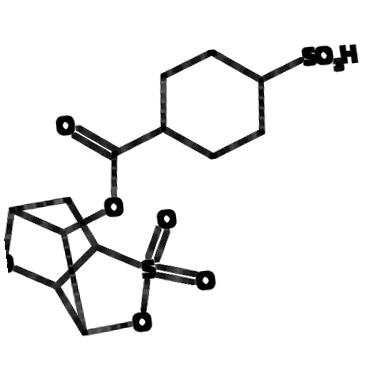 O=C(OC1C2CC3C(O2)C1OS3(=O)=O)C1CCC(S(=O)(=O)O)CC1